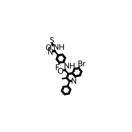 Cc1c(-c2ccccc2)nc2ccc(Br)cc2c1C(=O)Nc1ccc(-c2noc(=S)[nH]2)cc1F